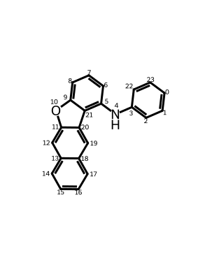 c1ccc(Nc2cccc3oc4cc5ccccc5cc4c23)cc1